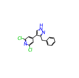 Clc1cc(-c2c[nH]nc2Cc2ccccc2)cc(Cl)n1